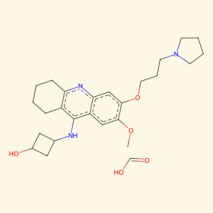 COc1cc2c(NC3CC(O)C3)c3c(nc2cc1OCCCN1CCCC1)CCCC3.O=CO